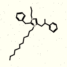 CCCCCCCCCCC[n+]1c(CC(C)c2ccccc2)cn(CCC)c1Cc1ccccc1